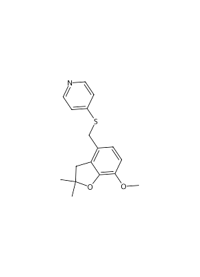 COc1ccc(CSc2ccncc2)c2c1OC(C)(C)C2